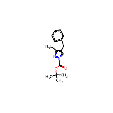 Cc1nn(C(=O)OC(C)(C)C)cc1Cc1ccccc1